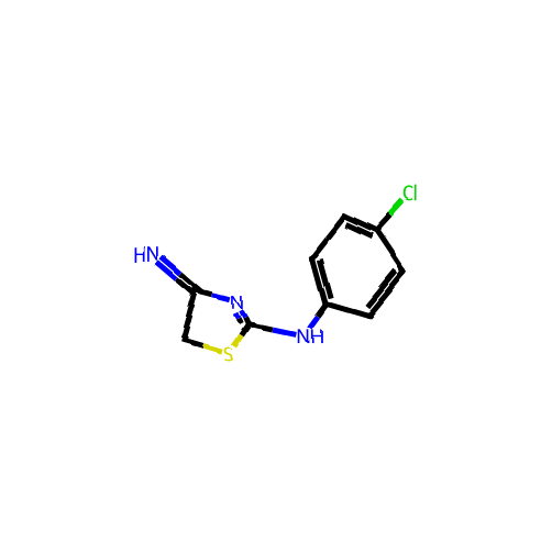 N=C1CSC(Nc2ccc(Cl)cc2)=N1